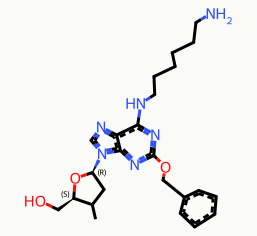 CC1C[C@H](n2cnc3c(NCCCCCCN)nc(OCc4ccccc4)nc32)O[C@@H]1CO